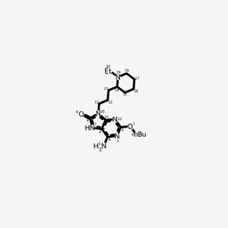 CCCCOc1nc(N)c2[nH]c(=O)n(CCCC3CCCCN3CC)c2n1